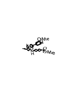 CC#Cc1ccc(C(=O)NC2CC3(C2)CC(C(=O)OC)C3)c2c1cnn2-c1ccc(-c2ccnc(OC)c2)cc1